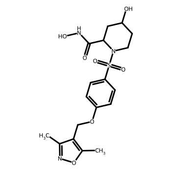 Cc1noc(C)c1COc1ccc(S(=O)(=O)N2CCC(O)CC2C(=O)NO)cc1